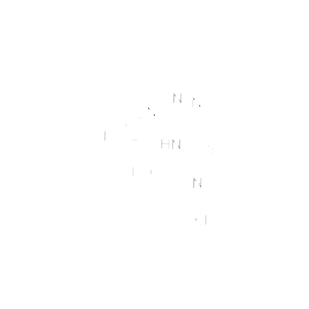 Cc1nc(C(=O)Nc2cnn3ccc(-c4ccccc4C(F)(F)F)nc23)c(C)s1